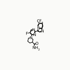 NC(=O)C1CCCN(c2nc(-c3cnc4ccc(C(F)(F)F)cn34)ncc2F)C1